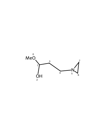 COC(O)CCN1CC1